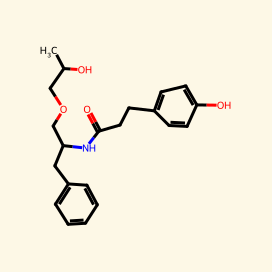 CC(O)COCC(Cc1ccccc1)NC(=O)CCc1ccc(O)cc1